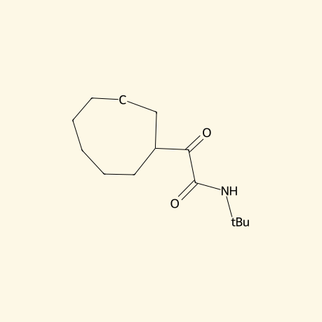 CC(C)(C)NC(=O)C(=O)C1CCCCCCC1